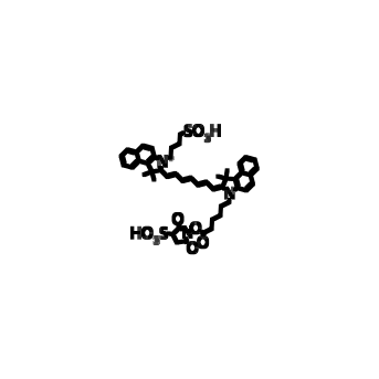 CC1(C)C(/C=C/C=C/C=C/C=C2/N(CCCCCC(=O)ON3C(=O)CC(S(=O)(=O)O)C3=O)c3ccc4ccccc4c3C2(C)C)=[N+](CCCCS(=O)(=O)O)c2ccc3ccccc3c21